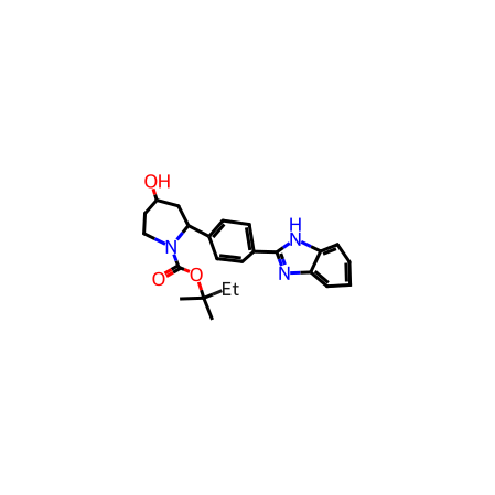 CCC(C)(C)OC(=O)N1CCC(O)CC1c1ccc(-c2nc3ccccc3[nH]2)cc1